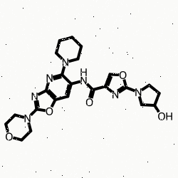 O=C(Nc1cc2oc(N3CCOCC3)nc2nc1N1CCCCC1)c1coc(N2CCC(O)C2)n1